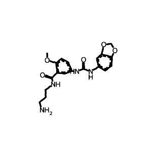 COc1ccc(NC(=O)Nc2ccc3c(c2)OCO3)cc1C(=O)NCCCN